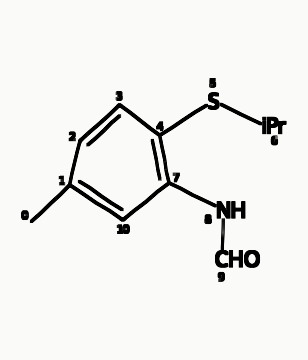 Cc1ccc(SC(C)C)c(NC=O)c1